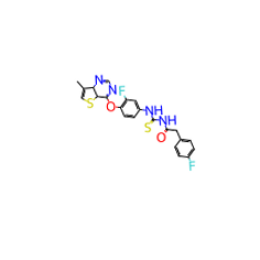 CC1=CSC2C(Oc3ccc(NC(=S)NC(=O)Cc4ccc(F)cc4)cc3F)=NC=NC12